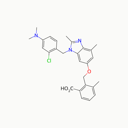 Cc1cccc(C(=O)O)c1COc1cc(C)c2nc(C)n(Cc3ccc(N(C)C)cc3Cl)c2c1